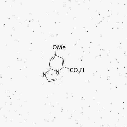 COc1cc(C(=O)O)n2ccnc2c1